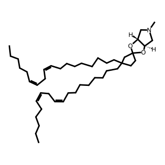 CCCCC/C=C\C/C=C\CCCCCCCCC1(CCCCCCCC/C=C\C/C=C\CCCCC)CCC2(C1)O[C@@H]1CN(C)C[C@H]1O2